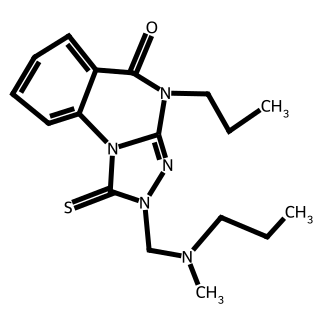 CCCN(C)Cn1nc2n(CCC)c(=O)c3ccccc3n2c1=S